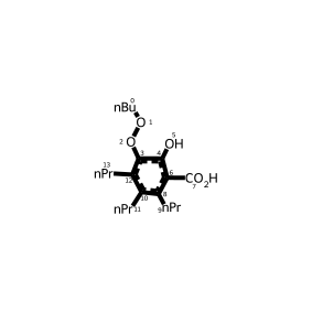 CCCCOOc1c(O)c(C(=O)O)c(CCC)c(CCC)c1CCC